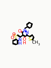 Cc1ccc(-c2nn(Cc3ccccc3)c(=O)c(C3=CS(=O)(=O)c4ccccc4N3)c2O)s1